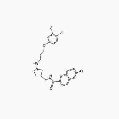 O=C(NCC1CCN(NCCCOc2ccc(Cl)c(F)c2)C1)c1ccc2cc(Cl)ccc2c1